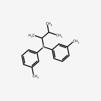 Cc1cccc(N(c2cccc(C)c2)C(C)C(C)C)c1